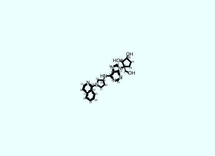 OC[C@]1(n2cnc3c(N[C@H]4CCN(c5nccc6ccccc56)C4)ncnc32)CC[C@H](O)[C@@H]1O